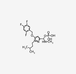 CNC(OP(=O)(O)O)c1cc(OCc2cc(F)c(F)cc2F)n(CCC(C)C)n1